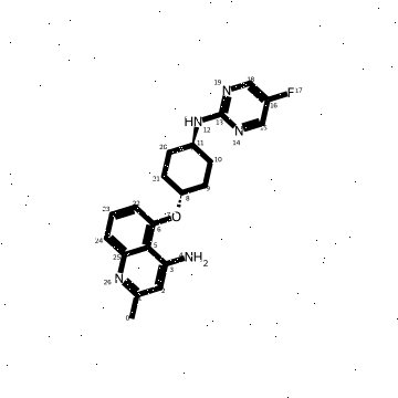 Cc1cc(N)c2c(O[C@H]3CC[C@H](Nc4ncc(F)cn4)CC3)cccc2n1